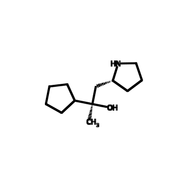 C[C@@](O)(C[C@H]1CCCN1)C1CCCC1